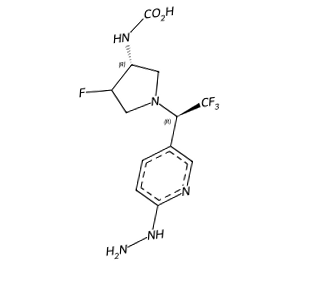 NNc1ccc([C@@H](N2CC(F)[C@H](NC(=O)O)C2)C(F)(F)F)cn1